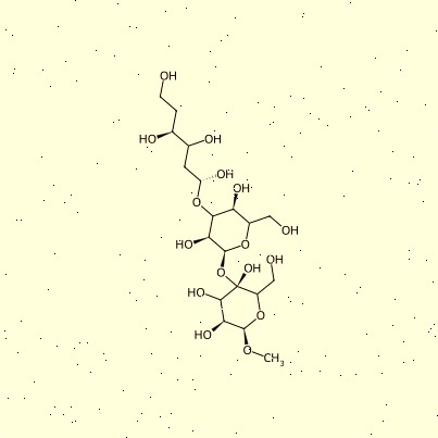 CO[C@@H]1OC(CO)[C@@](O)(O[C@@H]2OC(CO)[C@H](O)C(O[C@@H](O)CC(O)[C@@H](O)CCO)[C@@H]2O)C(O)[C@@H]1O